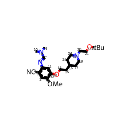 COc1cc(C#N)c(N=CN(C)C)cc1OCCC1CCN(CCOC(C)(C)C)CC1